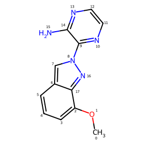 COc1cccc2cn(-c3nccnc3N)nc12